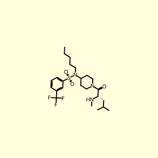 CCCCCN(C1CCN(C(=O)[C@H](CC(C)C)NC)CC1)S(=O)(=O)c1cccc(C(F)(F)F)c1